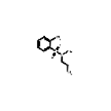 CC(=O)ON(CCN)S(=O)(=O)c1ccccc1[N+](=O)[O-]